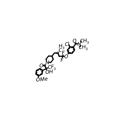 COc1cccc(C(O)(C(=O)N2CCC(C[C@H](C)CC(F)(F)Oc3ccc(C(=O)N(C)C)c(Cl)c3)CC2)C(F)(F)F)c1